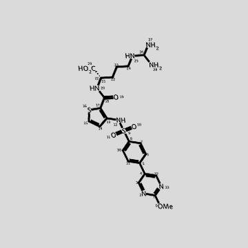 COc1ncc(-c2ccc(S(=O)(=O)Nc3ccsc3C(=O)N[C@@H](CCCNC(N)N)C(=O)O)cc2)cn1